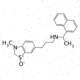 CC(NCCCc1ccc2c(c1)[S+]([O-])CN2C)c1cccc2ccccc12